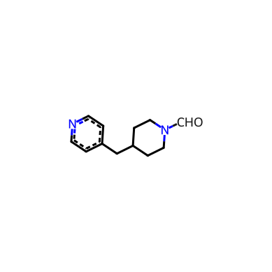 O=CN1CCC(Cc2ccncc2)CC1